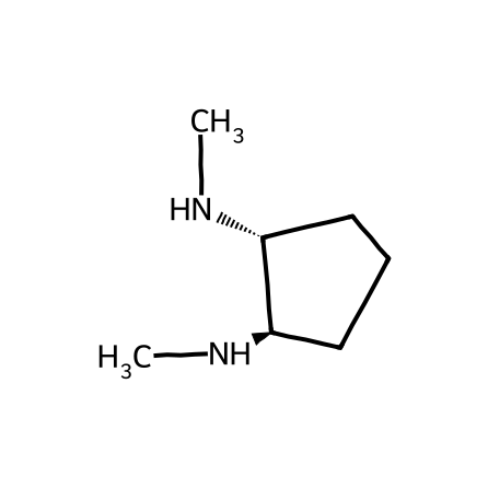 CN[C@@H]1CCC[C@H]1NC